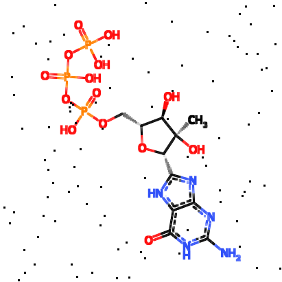 C[C@@]1(O)[C@H](O)[C@@H](COP(=O)(O)OP(=O)(O)OP(=O)(O)O)O[C@H]1c1nc2nc(N)[nH]c(=O)c2[nH]1